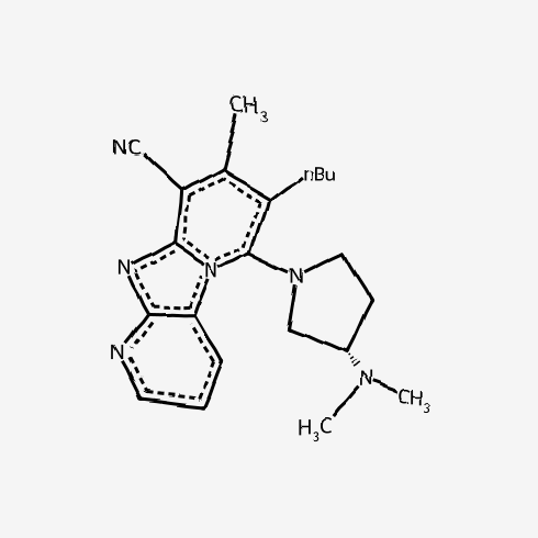 CCCCc1c(C)c(C#N)c2nc3ncccc3n2c1N1CC[C@H](N(C)C)C1